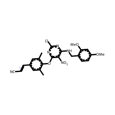 COc1ccc(CNc2nc(Cl)nc(Oc3c(C)cc(/C=C/C#N)cc3C)c2[N+](=O)[O-])c(OC)c1